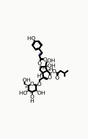 CC(C)CC(=O)O[C@@H]1OC=C(CO[C@@H]2O[C@H](CO)[C@@H](O)[C@H](O)[C@H]2O)[C@H]2C[C@H](OC(=O)/C=C/c3ccc(O)cc3)[C@](O)(CO)[C@@H]12